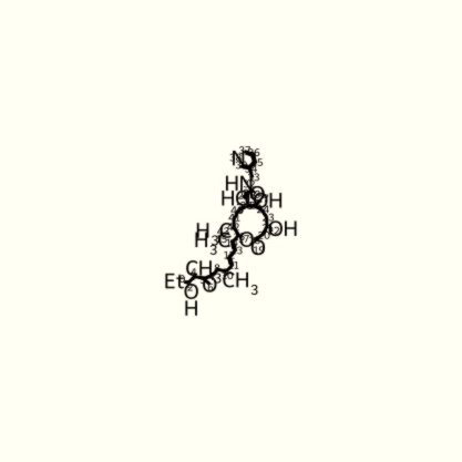 CCC(O)C(C)C1OC1CC(C)/C=C/C=C(\C)C1OC(=O)CC(O)CCC(C)(O)C(OC(=O)NCc2cccnc2)CCC1C